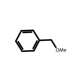 [CH2]OCc1ccccc1